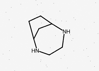 C1CNC2CCC(C2)N1